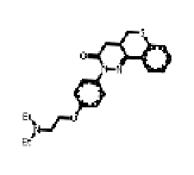 CCN(CC)CCOc1ccc(N2N=C3c4ccccc4SCC3CC2=O)cc1